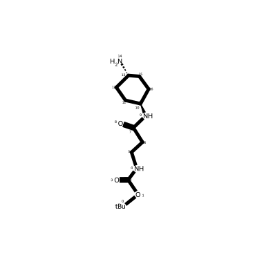 CC(C)(C)OC(=O)NCCC(=O)N[C@H]1CC[C@H](N)CC1